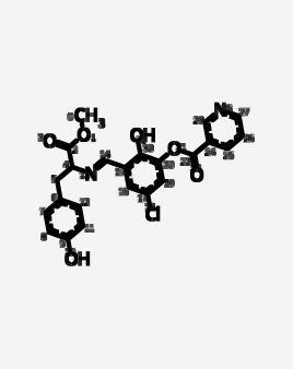 COC(=O)C(Cc1ccc(O)cc1)N=Cc1cc(Cl)cc(OC(=O)c2cccnc2)c1O